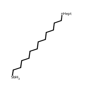 CCCCCCCCCCCCCCCCCC[CH2][SbH2]